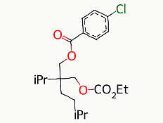 CCOC(=O)OCC(CCC(C)C)(COC(=O)c1ccc(Cl)cc1)C(C)C